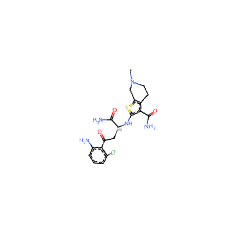 CN1CCc2c(sc(N[C@@H](CC(=O)c3c(N)cccc3Cl)C(N)=O)c2C(N)=O)C1